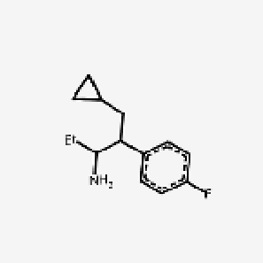 CCC(N)C(CC1CC1)c1ccc(F)cc1